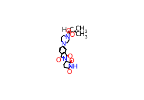 CC(C)(C)OC(=O)N1CCCN(c2ccc3c(c2)C(=O)N(C2CCC(=O)NC2=O)C3=O)CC1